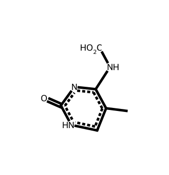 Cc1c[nH]c(=O)nc1NC(=O)O